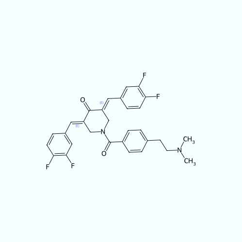 CN(C)CCc1ccc(C(=O)N2C/C(=C\c3ccc(F)c(F)c3)C(=O)/C(=C/c3ccc(F)c(F)c3)C2)cc1